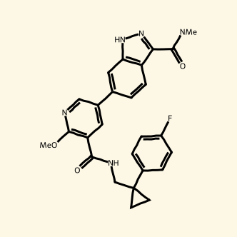 CNC(=O)c1n[nH]c2cc(-c3cnc(OC)c(C(=O)NCC4(c5ccc(F)cc5)CC4)c3)ccc12